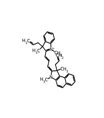 C=CCC1(C)C(/C=C/C=C2/N(C)c3ccc4ccccc4c3C2(C)CC=C)=[N+](C)c2ccccc21